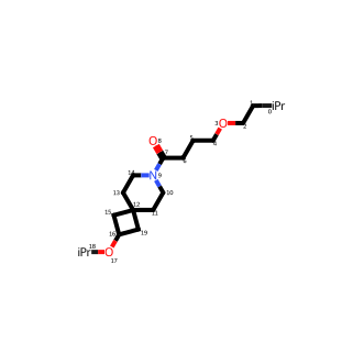 CC(C)CCOCCCC(=O)N1CCC2(CC1)CC(OC(C)C)C2